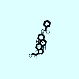 C[C@H](C=O)[C@@H]1CC[C@H]2[C@@H]3CC=C4C[C@@H](OC(=O)c5ccccc5)CC[C@@]4(C)[C@H]3CC[C@@]21C